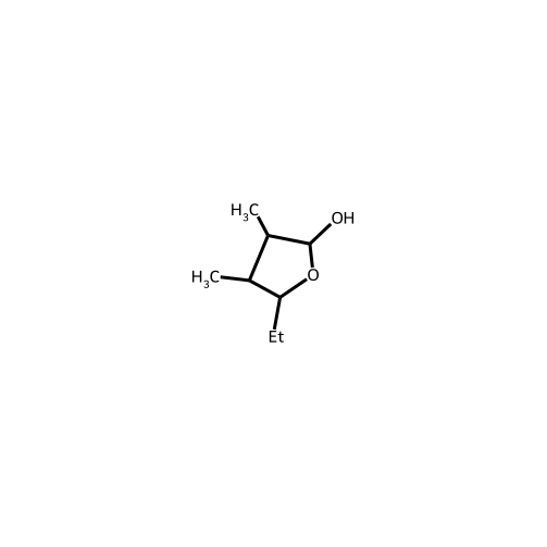 CCC1OC(O)C(C)C1C